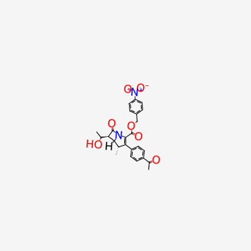 CC(=O)c1ccc(C2=C(C(=O)OCc3ccc([N+](=O)[O-])cc3)N3C(=O)[C@H](C(C)O)[C@H]3[C@H]2C)cc1